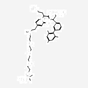 Cc1cc(C)c(-c2cccc(C(CC(=O)O)NC(=O)C(CCC(C)C)n3ccc(CCN(C)CCOCCOCCOCCO[Si](C)(C)C(C)(C)C)cc3=O)c2)c(C)c1